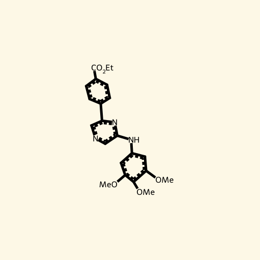 CCOC(=O)c1ccc(-c2cncc(Nc3cc(OC)c(OC)c(OC)c3)n2)cc1